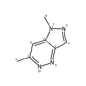 Cc1cc2c(cnn2C)nn1